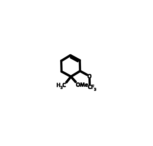 COC1(C)CCC=CC1OC(F)(F)F